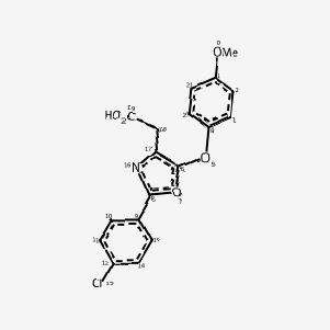 COc1ccc(Oc2oc(-c3ccc(Cl)cc3)nc2CC(=O)O)cc1